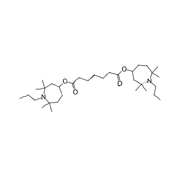 CCCN1C(C)(C)CCC(OC(=O)CCCCCC(=O)OC2CCC(C)(C)N(CCC)C(C)(C)C2)CC1(C)C